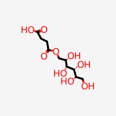 O=C(O)CCC(=O)OC[C@H](O)[C@@H](O)[C@H](O)[C@H](O)CO